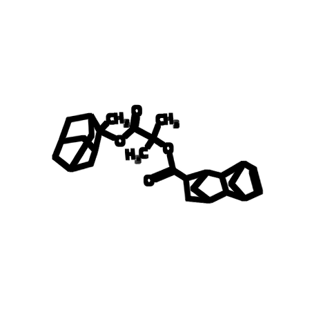 CC(C)(OC(=O)C1CC2CC1C1C3C=CC(C3)C21)C(=O)OC1(C)C2CC3CC(C2)CC1C3